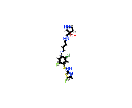 O[C@]1(CNCCCCNc2cc(F)c(SNc3ncc(F)s3)cc2Cl)CCNC1